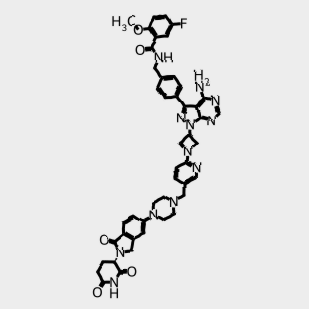 COc1ccc(F)cc1C(=O)NCc1ccc(-c2nn(C3CN(c4ccc(CN5CCN(c6ccc7c(c6)CN([C@H]6CCC(=O)NC6=O)C7=O)CC5)cn4)C3)c3ncnc(N)c23)cc1